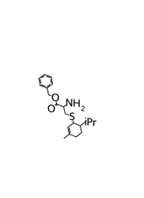 CC1=CC(SC[C@H](N)C(=O)OCc2ccccc2)C(C(C)C)CC1